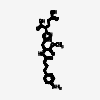 COC(=O)C(Cc1cn(C(CCC(=O)O)C(=O)O)nn1)NC(=O)CCCc1ccc(N)cc1